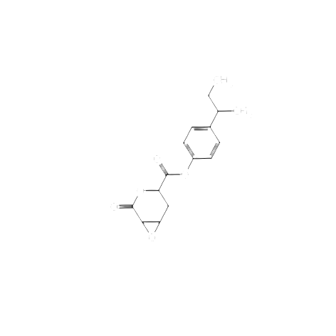 CCC(C)c1ccc(OC(=O)C2CC3OC3C(=O)O2)cc1